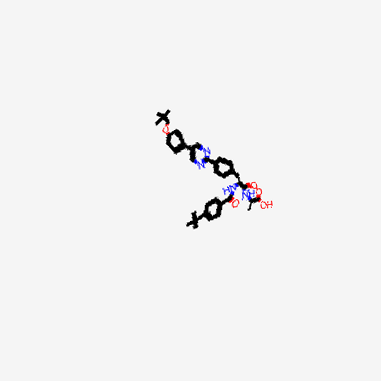 C[C@@H](NC(=O)[C@H](Cc1ccc(-c2ncc(-c3ccc(OCC(C)(C)C)cc3)cn2)cc1)NC(=O)c1ccc(C(C)(C)C)cc1)C(=O)O